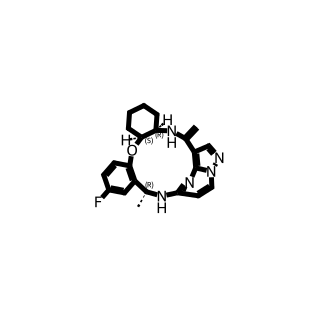 C=C1N[C@@H]2CCCC[C@@H]2Oc2ccc(F)cc2[C@@H](C)Nc2ccn3ncc1c3n2